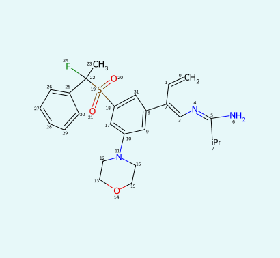 C=C/C(=C\N=C(\N)C(C)C)c1cc(N2CCOCC2)cc(S(=O)(=O)C(C)(F)c2ccccc2)c1